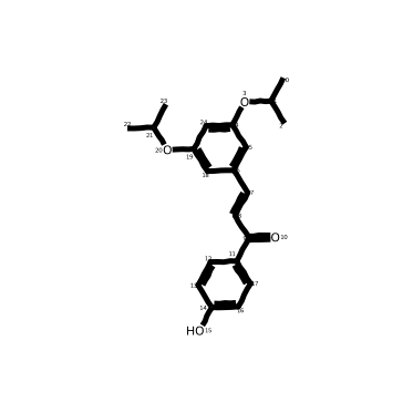 CC(C)Oc1cc(C=CC(=O)c2ccc(O)cc2)cc(OC(C)C)c1